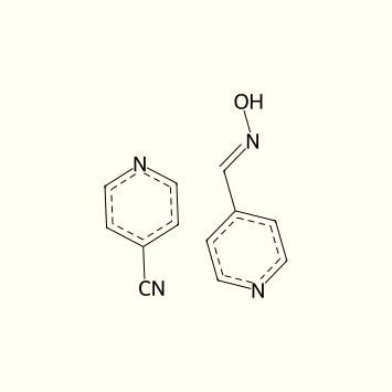 N#Cc1ccncc1.ON=Cc1ccncc1